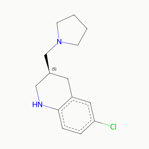 Clc1ccc2c(c1)C[C@H](CN1CCCC1)CN2